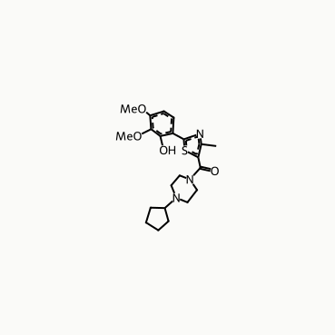 COc1ccc(-c2nc(C)c(C(=O)N3CCN(C4CCCC4)CC3)s2)c(O)c1OC